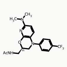 CC(=O)NC[C@@H]1CN(c2ccc(C(F)(F)F)cc2)c2ccc(N(C)C)nc2O1